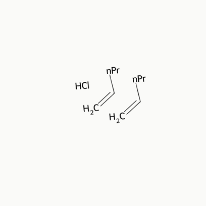 C=CCCC.C=CCCC.Cl